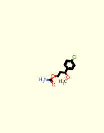 COC(CCOC(N)=O)c1ccc(Cl)cc1